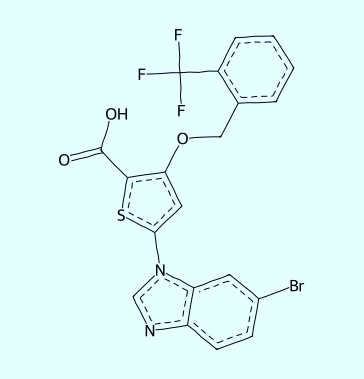 O=C(O)c1sc(-n2cnc3ccc(Br)cc32)cc1OCc1ccccc1C(F)(F)F